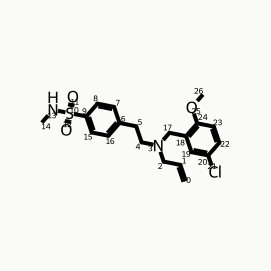 C=CCN(CCc1ccc(S(=O)(=O)NC)cc1)Cc1cc(Cl)ccc1OC